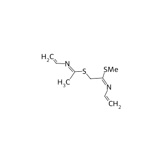 C=C/N=C(\C)SC/C(=N\C=C)SC